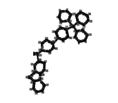 c1ccc([Si](c2ccccc2)(c2ccccc2)c2ccc(-c3ccc(Nc4ccc5c(c4)sc4ccccc45)cc3)cc2)cc1